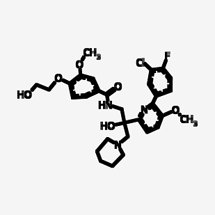 COc1cc(C(=O)NCC(O)(CN2CCCCC2)c2ccc(OC)c(-c3ccc(F)c(Cl)c3)n2)ccc1OCCO